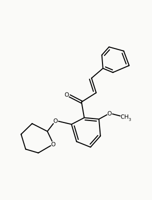 COc1cccc(OC2CCCCO2)c1C(=O)/C=C/c1ccccc1